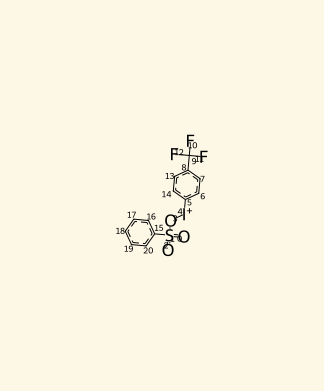 O=S(=O)(O[I+]c1ccc(C(F)(F)F)cc1)c1ccccc1